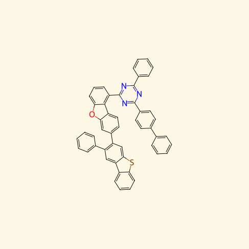 c1ccc(-c2ccc(-c3nc(-c4ccccc4)nc(-c4cccc5oc6cc(-c7cc8sc9ccccc9c8cc7-c7ccccc7)ccc6c45)n3)cc2)cc1